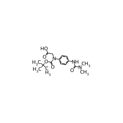 CN(C)C(=O)Nc1ccc(N(CC(=O)O)C(=O)OC(C)(C)C)cc1